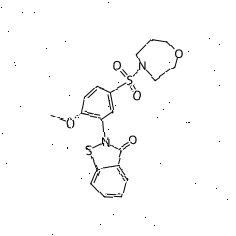 COc1ccc(S(=O)(=O)N2CCCOCC2)cc1-n1sc2ccccc2c1=O